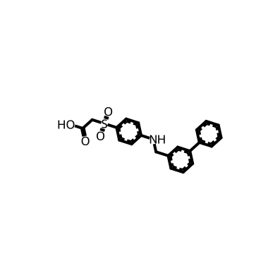 O=C(O)CS(=O)(=O)c1ccc(NCc2cccc(-c3ccccc3)c2)cc1